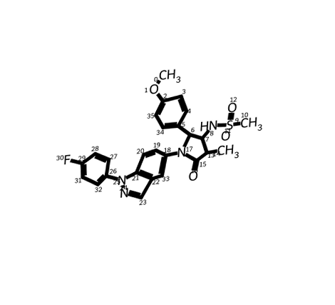 COc1ccc(C2C(NS(C)(=O)=O)C(C)C(=O)N2c2ccc3c(cnn3-c3ccc(F)cc3)c2)cc1